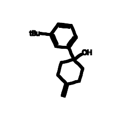 C=C1CCC(O)(c2cccc(C(C)(C)C)c2)CC1